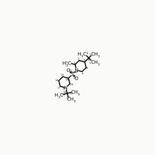 CC1CC(C(C)(C)C)CCN1S(=O)(=O)C1CCCN(C(C)(C)C)C1